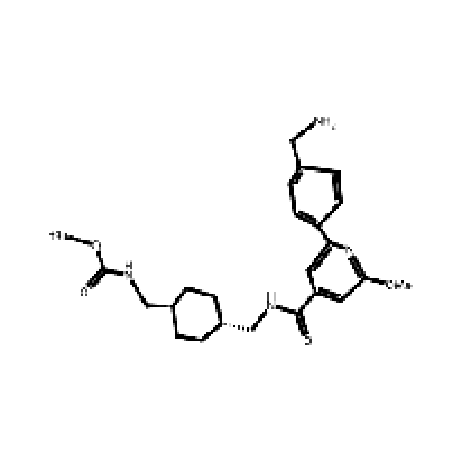 COc1cc(C(=O)NC[C@H]2CC[C@H](CNC(=O)OC(C)(C)C)CC2)cc(-c2ccc(CN)cc2)n1